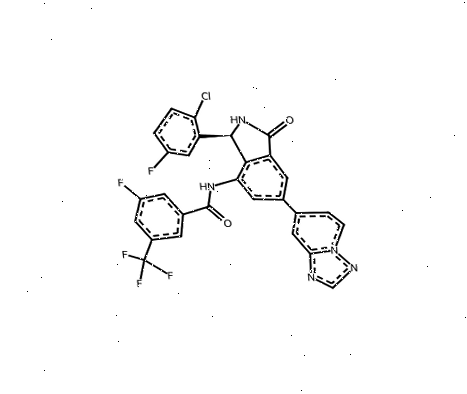 O=C(Nc1cc(-c2ccn3ncnc3c2)cc2c1[C@@H](c1cc(F)ccc1Cl)NC2=O)c1cc(F)cc(C(F)(F)F)c1